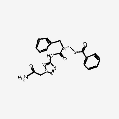 NC(=O)Cn1nnc(NC(=O)[C@@H](CSC(=O)c2ccccc2)Cc2ccccc2)n1